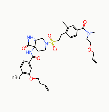 C=CCCOc1cc(C(=O)NC2(C(N)=O)CCN(S(=O)(=O)CCc3ccc(C(=O)N(C)CCOCC=C)cc3C)CC2)ccc1CCCC